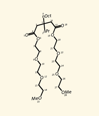 CCCCCCCCC(CCC)(CC(=O)OCCOCCOCCOC)CC(=O)OCCOCCOCCOC